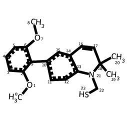 COc1cccc(OC)c1-c1ccc2c(c1)C=CC(C)(C)N2CS